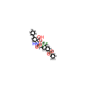 O=C(O)C1(CNS(=O)(=O)CC=Cc2cc(S(=O)(=O)c3ccccc3)ccc2C(F)(F)F)C=CC=C(c2ccccc2)C1